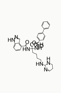 O=C(NC(CCCCNC1N=CCCN1)(NS(=O)(=O)c1ccc(-c2ccccc2)cc1)C(=O)O)c1cccc2[nH]ncc12